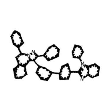 c1ccc(-c2nn3c(-c4ccccc4)cc4ccccc4c3c2-c2cccc(-c3ccc(-c4nc5ccccc5n4-c4ccccc4)cc3)c2)cc1